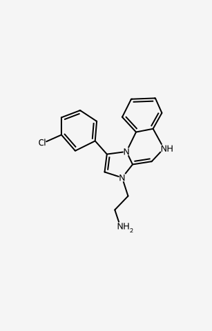 NCCN1C=C(c2cccc(Cl)c2)N2C1=CNc1ccccc12